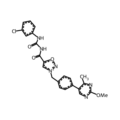 COc1ncc(-c2ccc(C[n+]3cc(C(=O)NC(=O)Nc4cccc(Cl)c4)on3)cc2)c(C)n1